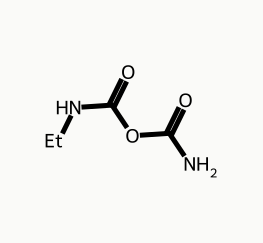 CCNC(=O)OC(N)=O